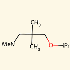 CNCC(C)(C)COC(C)C